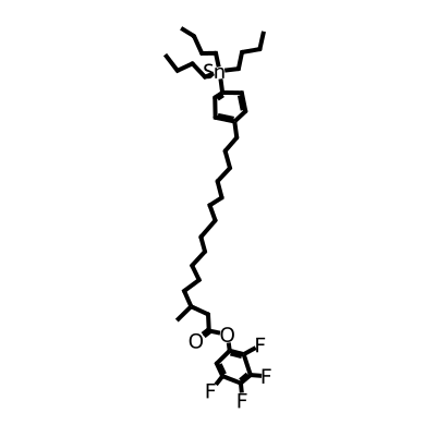 CCC[CH2][Sn]([CH2]CCC)([CH2]CCC)[c]1ccc(CCCCCCCCCCCCC(C)CC(=O)Oc2cc(F)c(F)c(F)c2F)cc1